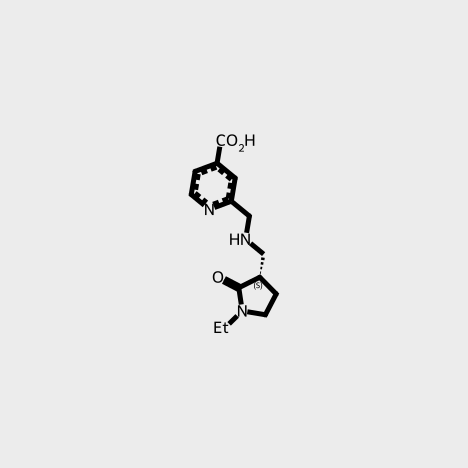 CCN1CC[C@@H](CNCc2cc(C(=O)O)ccn2)C1=O